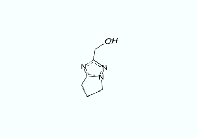 OCc1nc2n(n1)CCC2